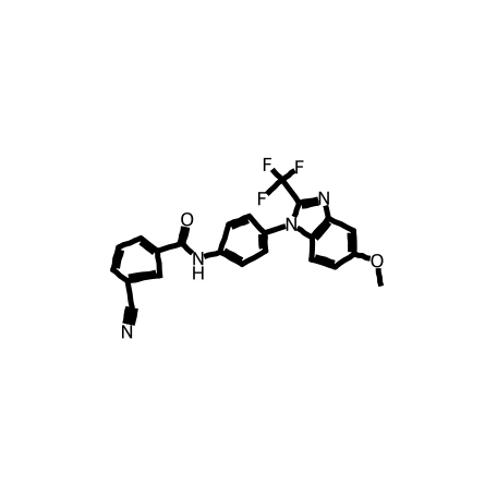 COc1ccc2c(c1)nc(C(F)(F)F)n2-c1ccc(NC(=O)c2cccc(C#N)c2)cc1